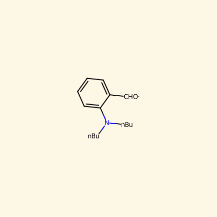 CCCCN(CCCC)c1ccccc1[C]=O